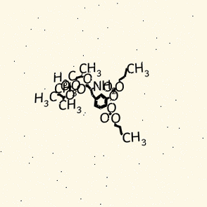 CCCCOC(=O)Oc1ccc(C[C@H](N)C(=O)O[C@@H](C)C(C)OC(=O)OC(C)C(C)C)cc1OC(=O)OCCCC